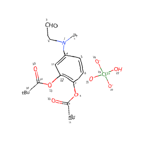 CC(C)N(CC=O)c1ccc(OC(=O)C(C)(C)C)c(OC(=O)C(C)(C)C)c1.[O-][Cl+3]([O-])([O-])O